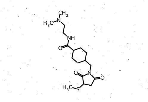 CSC1CC(=O)N(CC2CCC(C(=O)NCCN(C)C)CC2)C1=O